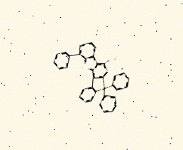 Brc1cc2c(c3oc4c(-c5ccccc5)cccc4c13)-c1ccccc1C2(c1ccccc1)c1ccccc1